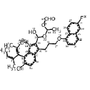 C/C=C(/C)C(=C(C)C)c1c(Cl)ccc2c(CCCOc3cccc4cc(F)ccc34)c(C(O)OC(C)OC=O)n(CCC)c12